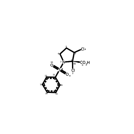 O=C(O)[C@]1(Cl)C(Cl)CCN1S(=O)(=O)c1ccccc1